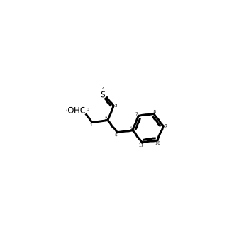 O=[C]CC([C]=S)Cc1ccccc1